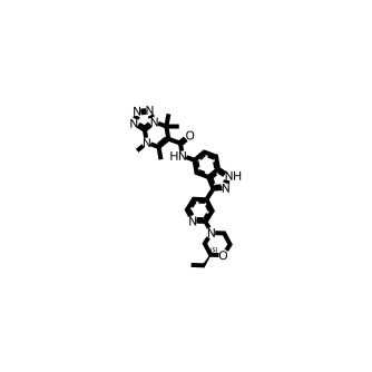 CC[C@H]1CN(c2cc(-c3n[nH]c4ccc(NC(=O)C5=C(C)N(C)c6nnnn6C5(C)C)cc34)ccn2)CCO1